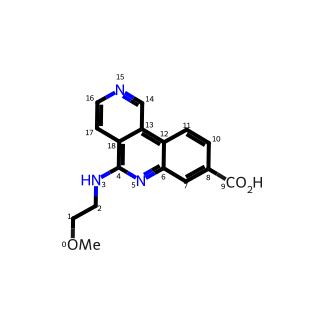 COCCNc1nc2cc(C(=O)O)ccc2c2cnccc12